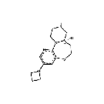 c1nc2c(cc1N1CCC1)SCC[C@@H]1CNCCN21